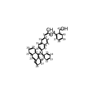 CC(=Cc1ccc2cc(N(c3ccccc3)c3c4ccccc4cc4ccccc34)ccc2c1)OCc1ccccc1CO